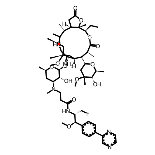 CC[C@H]1OC(=O)[C@H](C)C([C@H]2C[C@@](C)(OC)[C@@H](O)[C@H](C)O2)[C@@H]2C(N)CNC(C)([C@H](C)C[C@@](C)(OC)[C@@H]2O[C@@H]2O[C@H](C)C[C@H](N(C)CCC(=O)N[C@H](CF)[C@H](OC)c3ccc(-c4cnccn4)cc3)[C@H]2O)[C@H](C)[C@H]2CC(=O)O[C@@]21C